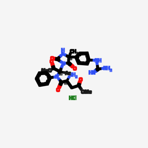 COC(=O)C[C@H](N)C(=O)N(c1ccccc1)[C@](C(C)=O)(C(=O)OC)N1C(=O)N[C@](C)(c2ccc(NC(=N)N)cc2)C1=O.Cl